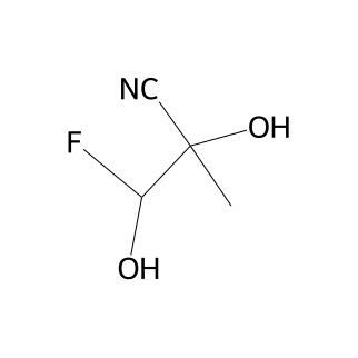 CC(O)(C#N)C(O)F